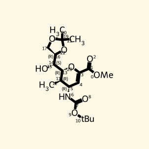 COC(=O)C1=C[C@H](NC(=O)OC(C)(C)C)[C@@H](C)[C@H]([C@H](O)[C@H]2COC(C)(C)O2)O1